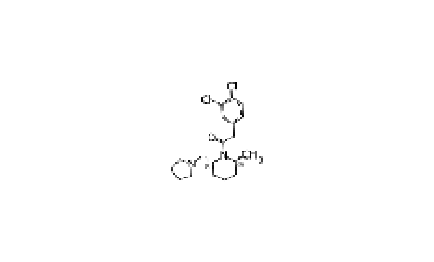 C[C@H]1CCC[C@H](CN2CCCC2)N1C(=O)Cc1ccc(Cl)c(Cl)c1